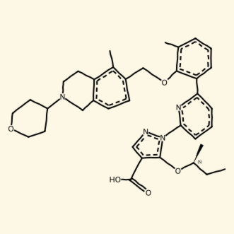 CC[C@H](C)Oc1c(C(=O)O)cnn1-c1cccc(-c2cccc(C)c2OCc2ccc3c(c2C)CCN(C2CCOCC2)C3)n1